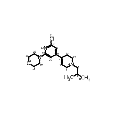 C[C](C)CN1CC=C(c2cc(Cl)nc(N3CCOCC3)c2)CC1